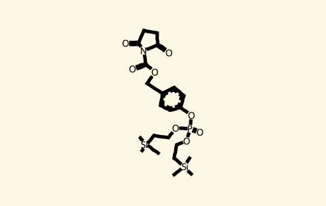 C[Si](C)(C)CCOP(=O)(OCC[Si](C)(C)C)Oc1ccc(COC(=O)N2C(=O)CCC2=O)cc1